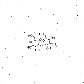 C=C1[C@@H](O)[C@@H](O[C@@H]([C@H](O)[C@@H](O)CO)[C@H](O)CO)O/C(=C\O)[C@H]1O